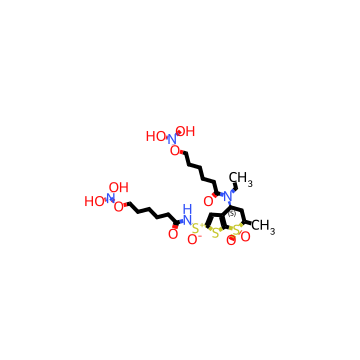 CCN(C(=O)CCCCCON(O)O)[C@H]1CC(C)S(=O)(=O)c2sc([S+]([O-])NC(=O)CCCCCON(O)O)cc21